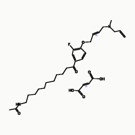 C=CCN(C)C/C=C/COc1ccc(C(=O)CCCCCCCCCCNC(C)=O)cc1F.O=C(O)/C=C/C(=O)O